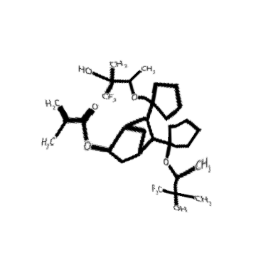 C=C(C)C(=O)OC1CC2CC1C(C1(OC(C)C(C)(O)C(F)(F)F)CCCC1)C2C1(OC(C)C(C)(O)C(F)(F)F)CCCC1